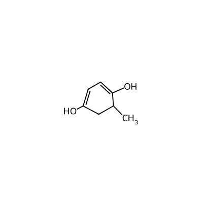 CC1CC(O)=CC=C1O